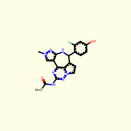 COC(=O)Nc1nc2c3c(ccn3n1)C(c1ccc(O)cc1F)Nc1nn(C)cc1-2